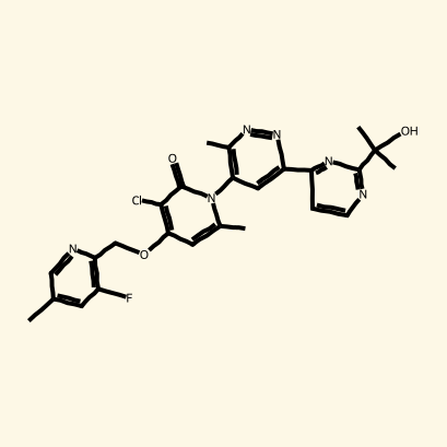 Cc1cnc(COc2cc(C)n(-c3cc(-c4ccnc(C(C)(C)O)n4)nnc3C)c(=O)c2Cl)c(F)c1